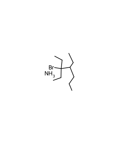 CCCC(CC)C(Br)(CC)CC.N